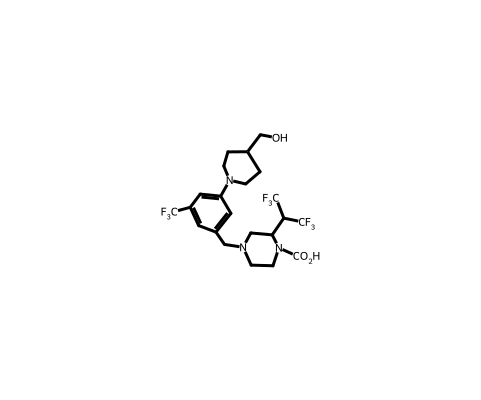 O=C(O)N1CCN(Cc2cc(N3CCC(CO)CC3)cc(C(F)(F)F)c2)CC1C(C(F)(F)F)C(F)(F)F